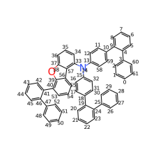 c1ccc(-c2ccccc2-c2ccc(N(c3ccc(-c4ccccc4-c4ccccc4)cc3)c3cccc4oc5c(-c6ccccc6-c6ccccc6)cccc5c34)cc2)cc1